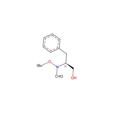 CC(C)(C)ON(C=O)[C@H](CO)Cc1ccccc1